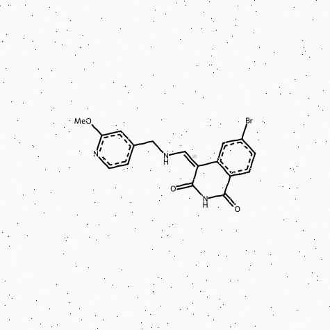 COc1cc(CN/C=C2\C(=O)NC(=O)c3ccc(Br)cc32)ccn1